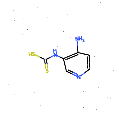 Nc1ccncc1NC(=S)S